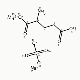 NC(CCC(=O)O)C(=O)[O-].O=S(=O)([O-])[O-].[Mg+2].[Na+]